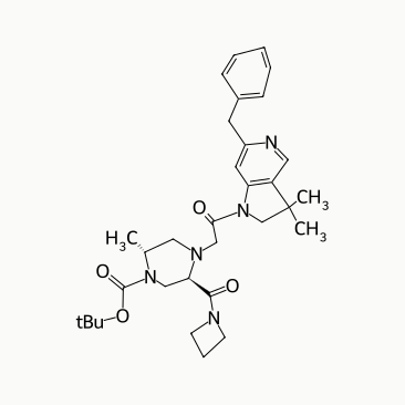 C[C@@H]1CN(CC(=O)N2CC(C)(C)c3cnc(Cc4ccccc4)cc32)[C@@H](C(=O)N2CCC2)CN1C(=O)OC(C)(C)C